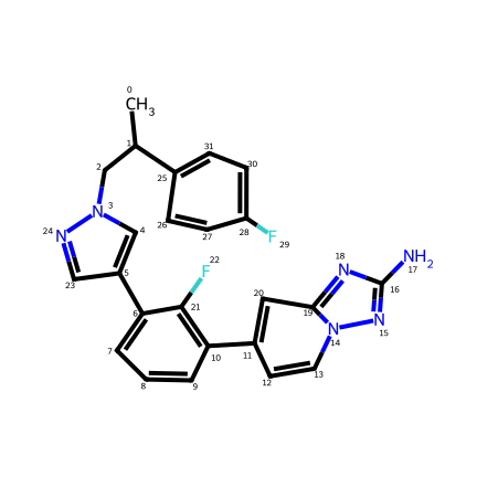 CC(Cn1cc(-c2cccc(-c3ccn4nc(N)nc4c3)c2F)cn1)c1ccc(F)cc1